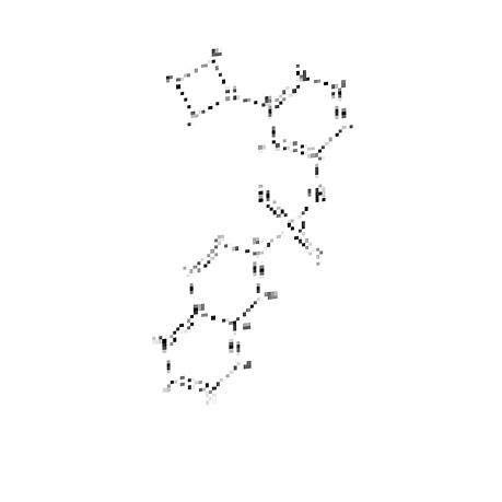 O=S(=O)(Nc1ccnc(C2CCC2)n1)c1ccc2ccccc2c1